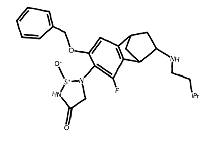 CC(C)CCNC1CC2CC1c1c2cc(OCc2ccccc2)c(N2CC(=O)N[S+]2[O-])c1F